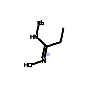 CC/C(=N/O)[NH][Rb]